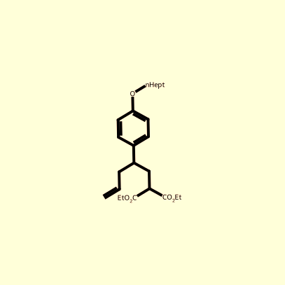 C=CCC(CC(C(=O)OCC)C(=O)OCC)c1ccc(OCCCCCCC)cc1